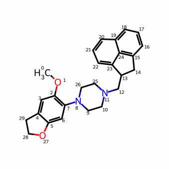 COc1cc2c(cc1N1CCN(CC3Cc4cccc5cccc3c45)CC1)OCC2